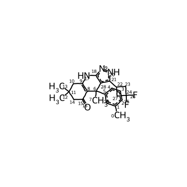 Cc1cccc(C2(C)C3=C(CC(C)(C)CC3=O)Nc3n[nH]c(C4CC(F)(F)C4)c32)c1